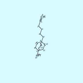 C#CCCCCC12SCC(CCC)(CS1)CS2